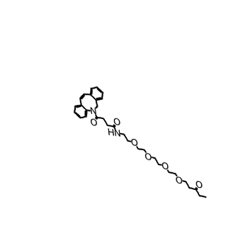 CCC(=O)CCOCCOCCOCCOCCNC(=O)CCC(=O)N1Cc2ccccc2/C=C\c2ccccc21